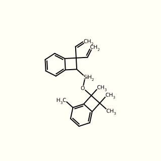 C=CC1(C=C)c2ccccc2C1[SiH2]OC1(C)c2c(C)cccc2C1(C)C